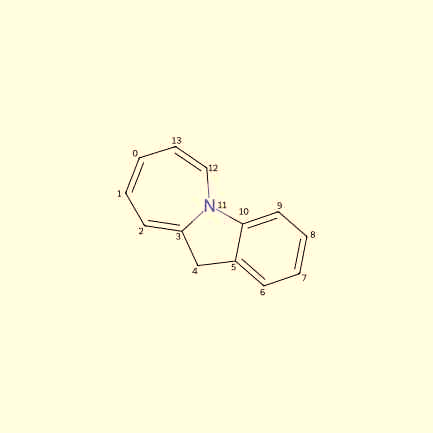 C1=CC=C2Cc3ccccc3N2C=C1